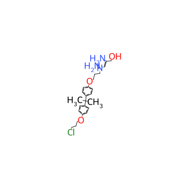 CC(C)(c1ccc(OCCCCl)cc1)c1ccc(OCCCN(N)/C=C(\N)CO)cc1